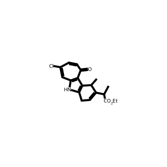 CCOC(=O)C(C)C1=CCc2[nH]c3cc(Cl)ccc(=O)c3c2C1C